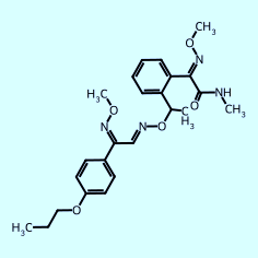 CCCOc1ccc(C(C=NOC(C)c2ccccc2C(=NOC)C(=O)NC)=NOC)cc1